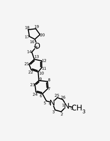 CN1CCN(Cc2ccc(-c3ccc(COC4CCCC4)cc3)cc2)CC1